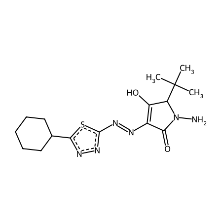 CC(C)(C)C1C(O)=C(N=Nc2nnc(C3CCCCC3)s2)C(=O)N1N